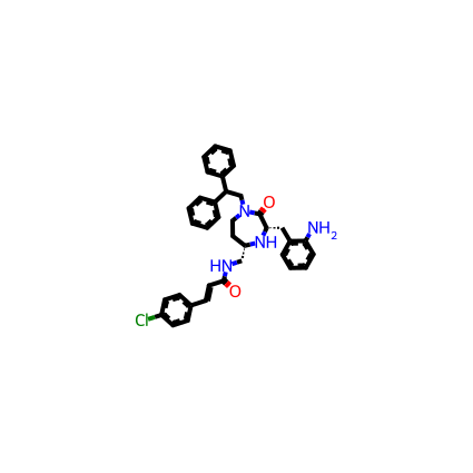 Nc1ccccc1C[C@@H]1N[C@H](CNC(=O)/C=C/c2ccc(Cl)cc2)CCN(CC(c2ccccc2)c2ccccc2)C1=O